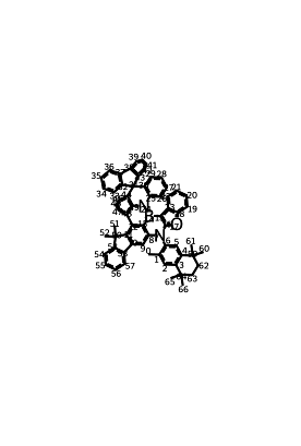 Cc1cc2c(cc1N1c3cc4c(c5c3B(c3c1oc1ccccc31)N1c3ccccc3C3(c6ccccc6-c6ccccc63)c3cccc-5c31)C(C)(C)c1ccccc1-4)C(C)(C)CCC2(C)C